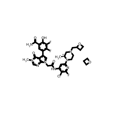 C1COC1.C[C@H]1CN(CC2CCO2)CCN1c1cc(NC(=O)Cn2cc(-c3cc(C(N)=O)c(O)c(F)c3F)c3c(=O)n(C)cnc32)c(Cl)c(F)n1